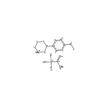 COc1cnc(C2CCCNC2)cn1.O=C(O)C(F)(F)F